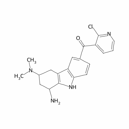 CN(C)C1Cc2c([nH]c3ccc(C(=O)c4cccnc4Cl)cc23)C(N)C1